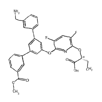 CC[C@@H](Oc1nc(Oc2cc(-c3cccc(CN)c3)cc(-c3cccc(C(=O)OC)c3)c2)c(F)cc1F)C(=O)O